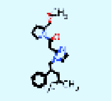 COC[C@@H]1CCCN1C(=O)Cc1nccn1CC(CC(C)C)c1ccccc1